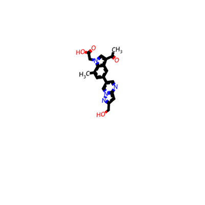 CC(=O)c1cn(CC(=O)O)c2c(C)cc(-c3cnc4cc(CO)nn4c3)cc12